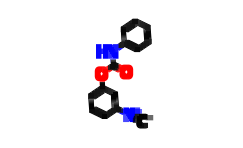 [C-]#[N+]c1cccc(OC(=O)Nc2ccccc2)c1